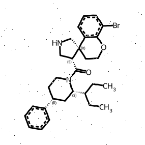 CCC(CC)[C@@H]1C[C@H](c2ccccc2)CCN1C(=O)[C@@H]1CNC[C@]12CCOc1c(Br)cccc12